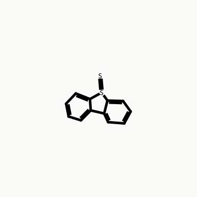 S=S1c2ccccc2-c2ccccc21